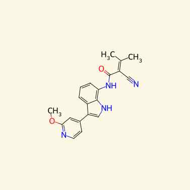 COc1cc(-c2c[nH]c3c(NC(=O)C(C#N)=C(C)C)cccc23)ccn1